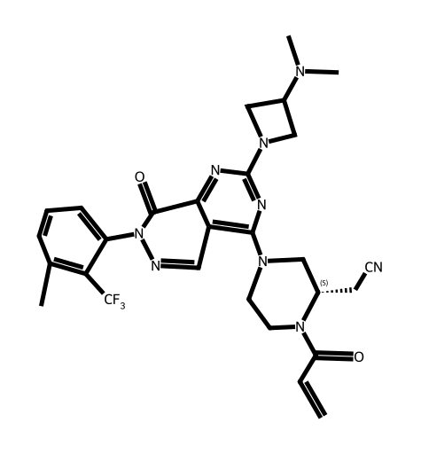 C=CC(=O)N1CCN(c2nc(N3CC(N(C)C)C3)nc3c(=O)n(-c4cccc(C)c4C(F)(F)F)ncc23)C[C@@H]1CC#N